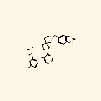 CC(C)N(C)S(=O)(=O)c1cc(F)ccc1Oc1cncnc1N1CCC2(CCN(Cc3ccc4[nH]c(=O)[nH]c4c3)C2)C1